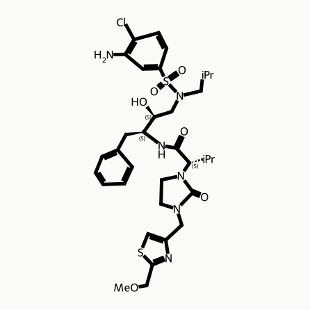 COCc1nc(CN2CCN([C@H](C(=O)N[C@@H](Cc3ccccc3)[C@@H](O)CN(CC(C)C)S(=O)(=O)c3ccc(Cl)c(N)c3)C(C)C)C2=O)cs1